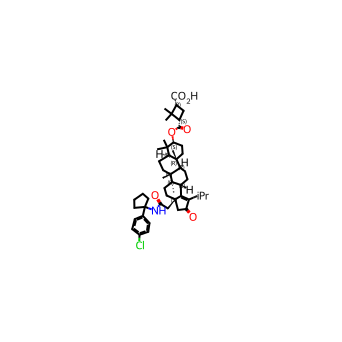 CC(C)C1=C2[C@H]3CC[C@@H]4[C@@]5(C)CC[C@H](OC(=O)[C@H]6C[C@@H](C(=O)O)C6(C)C)C(C)(C)[C@@H]5CC[C@@]4(C)[C@]3(C)CC[C@@]2(CC(=O)NC2(c3ccc(Cl)cc3)CCCC2)CC1=O